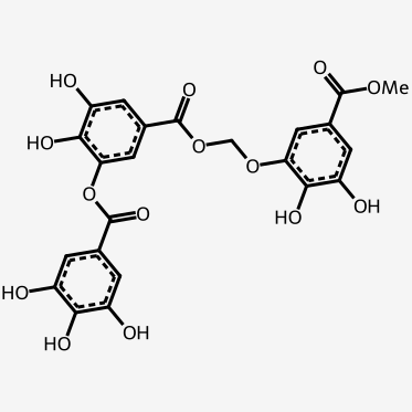 COC(=O)c1cc(O)c(O)c(OCOC(=O)c2cc(O)c(O)c(OC(=O)c3cc(O)c(O)c(O)c3)c2)c1